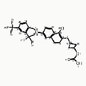 O=C(O)OC1CN(CC2=C(Cl)c3ccc(OCc4ccc(C(F)(F)F)cc4C(F)(F)F)cc3CC2)C1